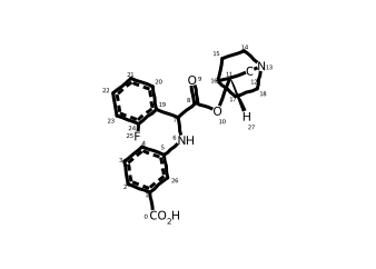 O=C(O)c1cccc(NC(C(=O)O[C@H]2CN3CCC2CC3)c2ccccc2F)c1